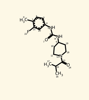 Cc1ccc(NC(=O)NC2CCN(C(=O)C(C)C)CC2)cc1F